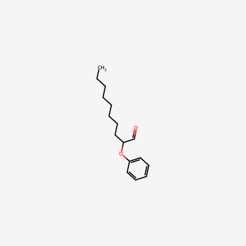 CCCCCCCCC(C=O)Oc1ccccc1